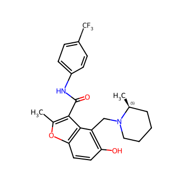 Cc1oc2ccc(O)c(CN3CCCC[C@@H]3C)c2c1C(=O)Nc1ccc(C(F)(F)F)cc1